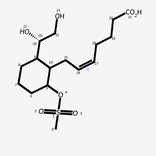 CS(=O)(=O)OC1CCCC([C@H](O)CO)C1C/C=C\CCCC(=O)O